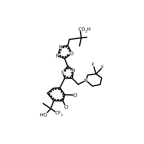 CC(C)(Cc1nnc(-c2nc(CN3CCCC(F)(F)C3)c(-c3ccc(C(C)(O)C(F)(F)F)c(Cl)c3Cl)s2)o1)C(=O)O